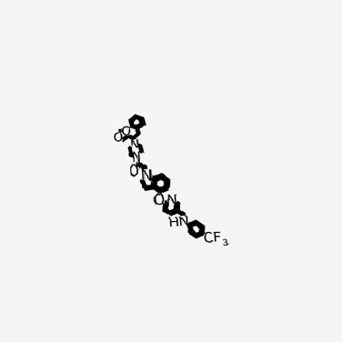 O=C(CN1CCc2c(Oc3ccc(CNc4ccc(C(F)(F)F)cc4)cn3)cccc21)N1CCN(C(Cc2ccccc2)C2=COCO2)CC1